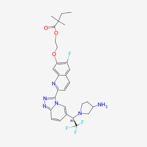 CCC(C)(C)C(=O)OCCOc1cc2nc(-c3nnc4ccc([C@@H](N5CCC(N)C5)C(F)(F)F)cn34)ccc2cc1F